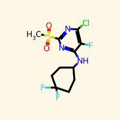 CS(=O)(=O)c1nc(Cl)c(F)c(NC2CCC(F)(F)CC2)n1